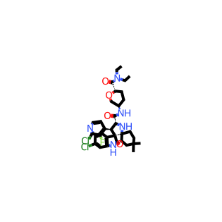 CCN(CC)C(=O)[C@@H]1CC[C@@H](NC(=O)[C@@H]2NC3(CCC(C)(C)CC3)[C@@]3(C(=O)Nc4cc(Cl)ccc43)[C@H]2c2ccnc(Cl)c2F)CO1